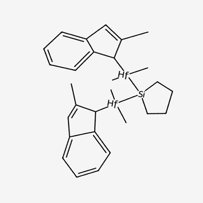 CC1=Cc2ccccc2[CH]1[Hf]([CH3])([CH3])[Si]1([Hf]([CH3])([CH3])[CH]2C(C)=Cc3ccccc32)CCCC1